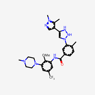 COc1c(NC(=O)c2ccc(C)c(N3C=C(c4cnn(C)c4C)NN3)c2)cc(C(F)(F)F)cc1N1CCN(C)CC1